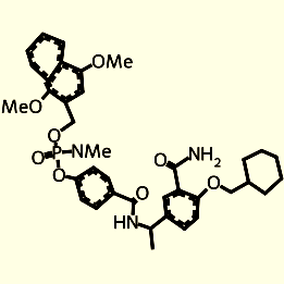 CNP(=O)(OCc1cc(OC)c2ccccc2c1OC)Oc1ccc(C(=O)NC(C)c2ccc(OCC3CCCCC3)c(C(N)=O)c2)cc1